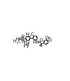 CNS(=O)(=O)c1ccc(-c2cc(NC(=O)C3(c4ccc5c(c4)OCO5)CC3)ccc2C)cc1OC(F)(F)F